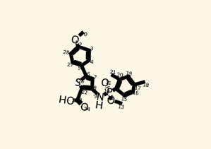 COc1ccc(-c2cc(NP(=O)(OC)c3ccc(C)cc3C)c(C(=O)O)s2)cc1